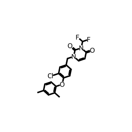 Cc1ccc(Oc2ccc(Cn3ccc(=O)n(C(F)F)c3=O)cc2Cl)c(C)c1